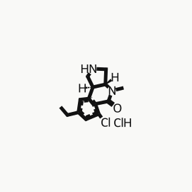 CCc1cc(Cl)c2c(c1)[C@H]1CNC[C@@H]1N(C)C2=O.Cl